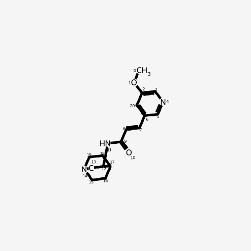 COc1cncc(/C=C/C(=O)NC2CN3CCC2CC3)c1